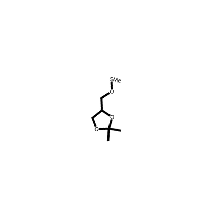 CSOCC1COC(C)(C)O1